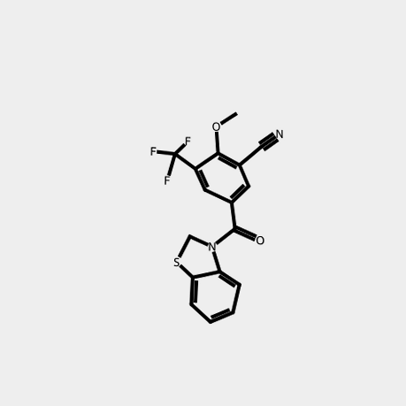 COc1c(C#N)cc(C(=O)N2CSc3ccccc32)cc1C(F)(F)F